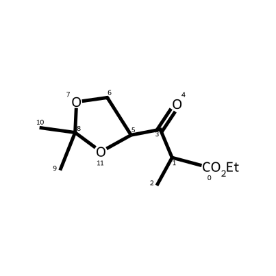 CCOC(=O)C(C)C(=O)C1COC(C)(C)O1